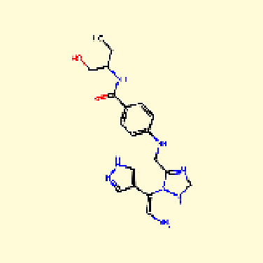 CCC(CO)NC(=O)c1ccc(NCC2=NCNN2/C(=C\N)c2cn[nH]c2)cc1